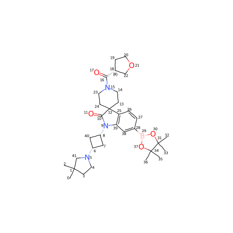 CC1(C)CCN([C@H]2C[C@@H](N3C(=O)C4(CCN(C(=O)[C@@H]5CCOC5)CC4)c4ccc(B5OC(C)(C)C(C)(C)O5)cc43)C2)C1